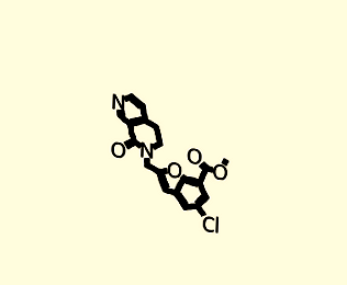 COC(=O)c1cc(Cl)cc2cc(CN3CCc4ccncc4C3=O)oc12